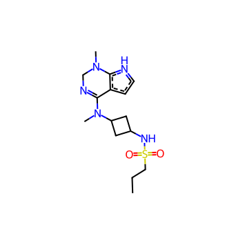 CCCS(=O)(=O)NC1CC(N(C)C2=NCN(C)c3[nH]ccc32)C1